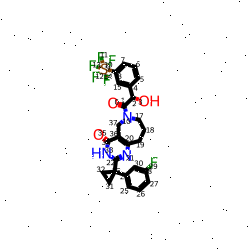 O=C(C(O)c1cccc(S(F)(F)(F)(F)F)c1)N1CCCc2nc(C3(c4cccc(F)c4)CC3)[nH]c(=O)c2C1